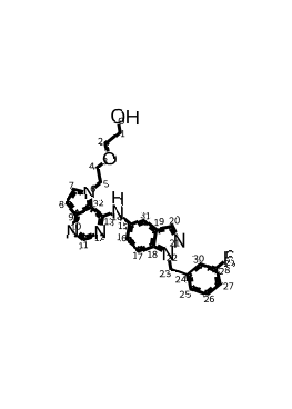 OCCOCCn1ccc2ncnc(Nc3ccc4c(cnn4Cc4cccc(F)c4)c3)c21